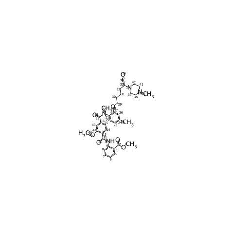 COC(=O)c1ccccc1NC(=O)c1ccc(C(=O)N(C)c2ccc(C)cc2OCCCCC(=C=O)N2CCN(C)CC2)cc1OC